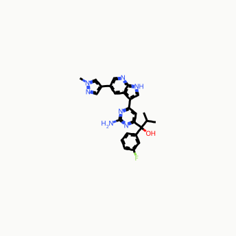 CC(C)C(O)(c1cccc(F)c1)c1cc(-c2c[nH]c3ncc(-c4cnn(C)c4)cc23)nc(N)n1